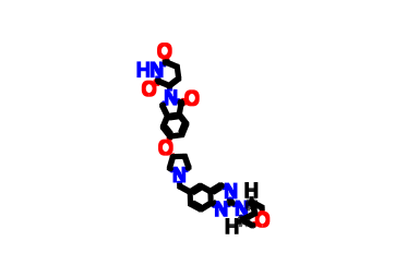 O=C1CCC(N2Cc3cc(OC4CCN(Cc5ccc6nc(N7[C@@H]8COC[C@H]7C8)ncc6c5)C4)ccc3C2=O)C(=O)N1